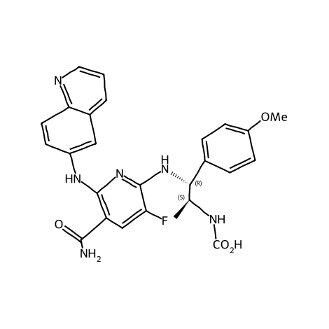 COc1ccc([C@@H](Nc2nc(Nc3ccc4ncccc4c3)c(C(N)=O)cc2F)[C@H](C)NC(=O)O)cc1